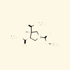 COC(=O)[C@@H]1CN(C(=O)OC(C)(C)C)C[C@@]1(C)C(=O)OC